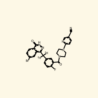 [2H]C([2H])(c1ccc(F)c(C(=O)N2CCN(c3ccc(C#N)cn3)CC2)c1)c1n[nH]c(=O)c2ccc(Br)cc12